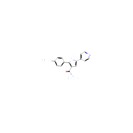 COc1ccc(-c2[nH]c(-c3ccncc3)cc2C(N)=O)cc1.Cl